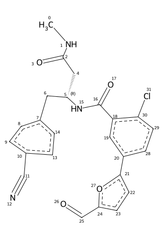 CNC(=O)C[C@@H](Cc1ccc(C#N)cc1)NC(=O)c1cc(-c2ccc(C=O)o2)ccc1Cl